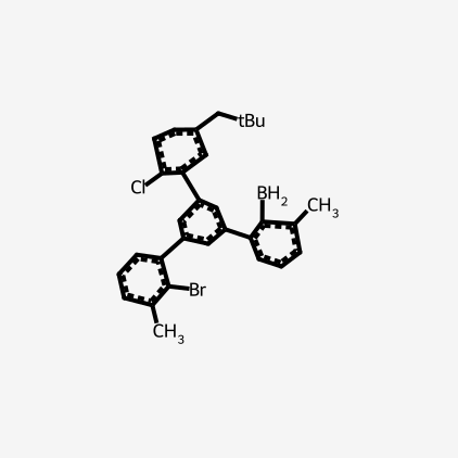 Bc1c(C)cccc1-c1cc(-c2cc(CC(C)(C)C)ccc2Cl)cc(-c2cccc(C)c2Br)c1